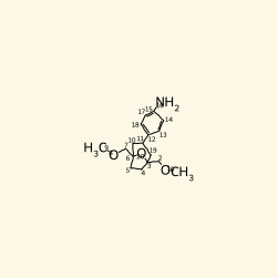 COCC12CCC(COC)(CC(c3ccc(N)cc3)C1)O2